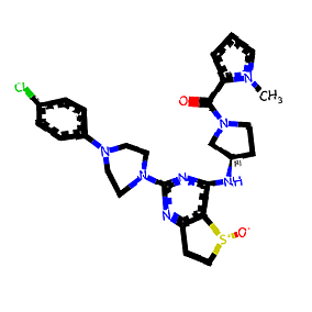 Cn1cccc1C(=O)N1CC[C@@H](Nc2nc(N3CCN(c4ccc(Cl)cc4)CC3)nc3c2[S+]([O-])CC3)C1